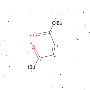 CC(C)COC(=O)/C=C\C(=O)C(C)(C)C